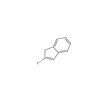 FC1=Cc2cc[c]cc2C1